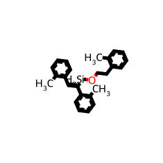 Cc1ccccc1C=C([SiH2]OCCc1ccccc1C)c1ccccc1C